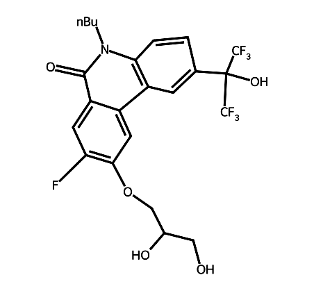 CCCCn1c(=O)c2cc(F)c(OCC(O)CO)cc2c2cc(C(O)(C(F)(F)F)C(F)(F)F)ccc21